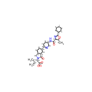 Cc1oc(-c2ccccc2)nc1C(=O)Nc1ccc(-c2ccc3c(c2)C(=O)N([C@H](C(=O)O)C(C)C)C3)nc1